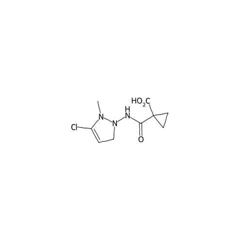 CN1C(Cl)=CCN1NC(=O)C1(C(=O)O)CC1